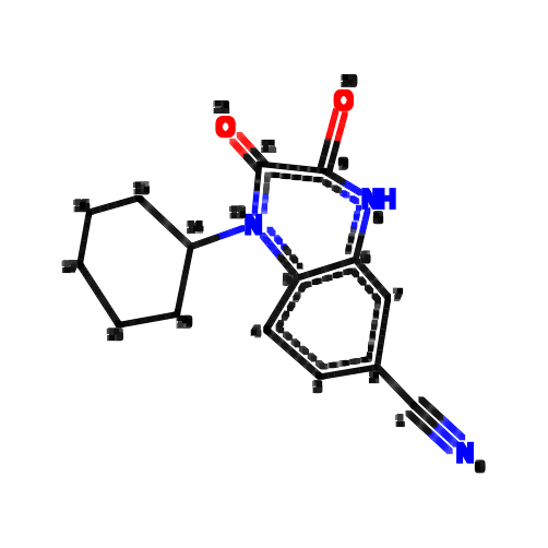 N#Cc1ccc2c(c1)[nH]c(=O)c(=O)n2C1CCCCC1